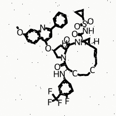 COc1ccc2c(O[C@@H]3C[C@H]4C(=O)N[C@]5(C(=O)NS(=O)(=O)C6CC6)C[C@H]5/C=C\CCCCC[C@H](Nc5ccc(F)c(C(F)(F)F)c5)C(=O)N4C3)cc(-c3ccccc3)nc2c1